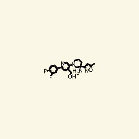 Cc1cc(C2(N)CCCN(c3cnc(-c4ccc(F)c(F)c4)cc3CO)C2)no1